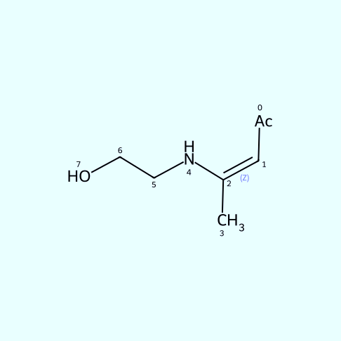 CC(=O)/C=C(/C)NCCO